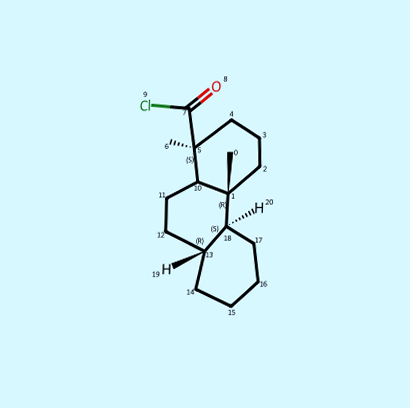 C[C@]12CCC[C@](C)(C(=O)Cl)C1CC[C@H]1CCCC[C@@H]12